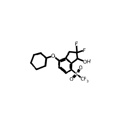 O=S(=O)(c1ccc(OC2CCCCC2)c2c1C(O)C(F)(F)C2)C(F)(F)F